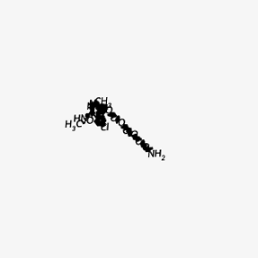 CCNC(=O)C[C@@H]1N=C(c2ccc(Cl)cc2)c2cc(OCCOCCOCCOCCOCCOCCOCCN)ccc2-n2c(C)nnc21